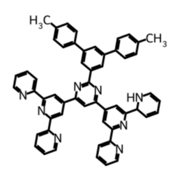 Cc1ccc(-c2cc(-c3ccc(C)cc3)cc(-c3nc(-c4cc(-c5ccccn5)nc(-c5ccccn5)c4)cc(-c4cc(-c5ccccn5)nc(C5C=CC=CN5)c4)n3)c2)cc1